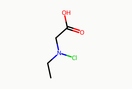 CCN(Cl)CC(=O)O